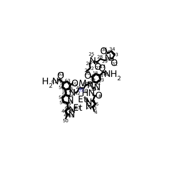 CCn1nc(C)cc1C(=O)Nc1nc2cc(C(N)=O)cc(OCCCN(C)C(=O)CCN3C(=O)C=CC3=O)c2n1C/C=C/Cn1c2nc(-c3cc(C)nn3CC)ccc2c2cc(C(N)=O)cc(OC)c21